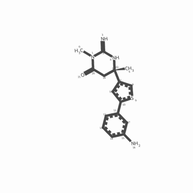 CN1C(=N)N[C@](C)(c2csc(-c3cccc(N)c3)c2)CC1=O